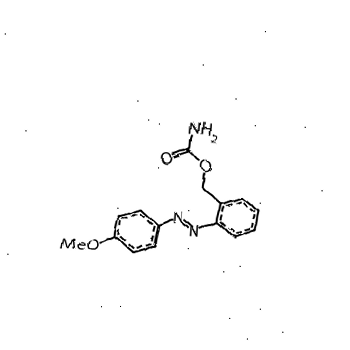 COc1ccc(N=Nc2ccccc2COC(N)=O)cc1